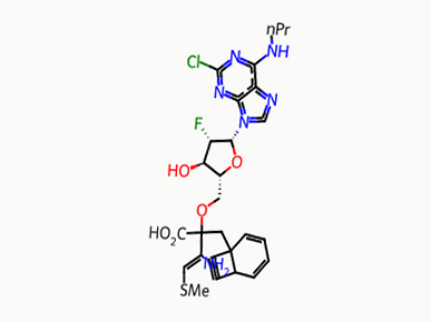 CCCNc1nc(Cl)nc2c1ncn2[C@@H]1O[C@H](COC(CC23C#CC2C=CC=C3)(C(=O)O)/C(N)=C/SC)[C@@H](O)[C@@H]1F